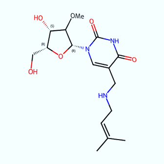 COC1[C@@H](O)[C@@H](CO)O[C@H]1n1cc(CNCC=C(C)C)c(=O)[nH]c1=O